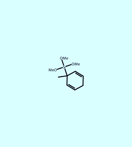 CO[Si](OC)(OC)C1(C)C=CCC=C1